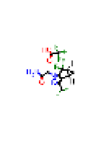 NC(=O)Cn1nc(C(F)F)c2c1C(F)(F)[C@@H]1C[C@H]21.O=C(O)C(F)(F)F